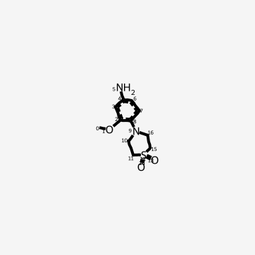 COc1cc(N)ccc1N1CCS(=O)(=O)CC1